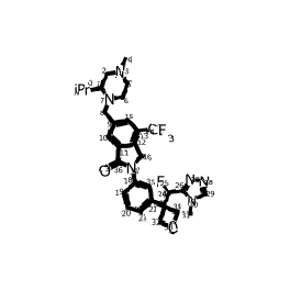 CC(C)C1CN(C)CCN1Cc1cc2c(c(C(F)(F)F)c1)CN(c1cccc(C3([C@@H](F)c4nncn4C)COC3)c1)C2=O